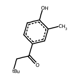 Cc1cc(C(=O)CC(C)(C)C)ccc1O